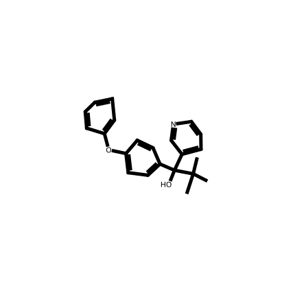 CC(C)(C)C(O)(c1ccc(Oc2ccccc2)cc1)c1cccnc1